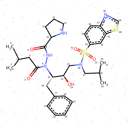 CC(C)CC(=O)N(NC(=O)C1CCCN1)[C@@H](Cc1ccccc1)[C@H](O)CN(CC(C)C)S(=O)(=O)c1ccc2ncsc2c1